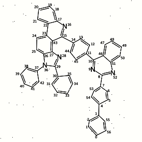 c1ccc(-c2ccc(-c3nc(-c4ccc(-c5nc6ccccc6c6ccc7c(nc(-c8ccccc8)n7-c7ccccc7)c56)cc4)c4ccccc4n3)cc2)cc1